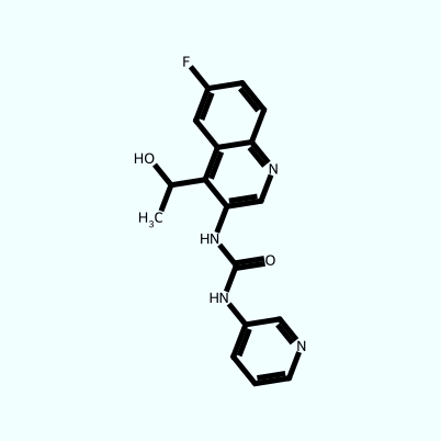 CC(O)c1c(NC(=O)Nc2cccnc2)cnc2ccc(F)cc12